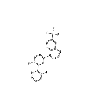 Fc1ccc(-c2ccnc3nc(C(F)(F)F)ccc23)cc1-c1ncccc1F